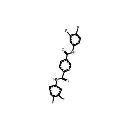 O=C(Nc1ccc(F)c(F)c1)c1ccc(C(=O)Nc2ccc(F)c(F)c2)nc1